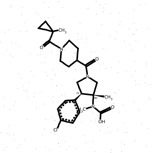 CN(C(=O)O)[C@@]1(C)CN(C(=O)C2CCN(C(=O)C3(C)CC3)CC2)C[C@@H]1c1ccc(Cl)cc1